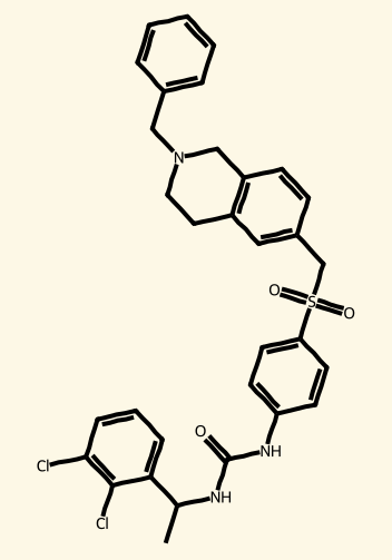 CC(NC(=O)Nc1ccc(S(=O)(=O)Cc2ccc3c(c2)CCN(Cc2ccccc2)C3)cc1)c1cccc(Cl)c1Cl